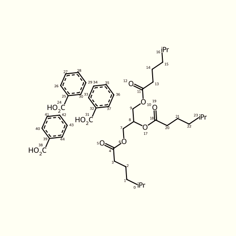 CC(C)CCCC(=O)OCC(COC(=O)CCCC(C)C)OC(=O)CCCC(C)C.O=C(O)c1ccccc1.O=C(O)c1ccccc1.O=C(O)c1ccccc1